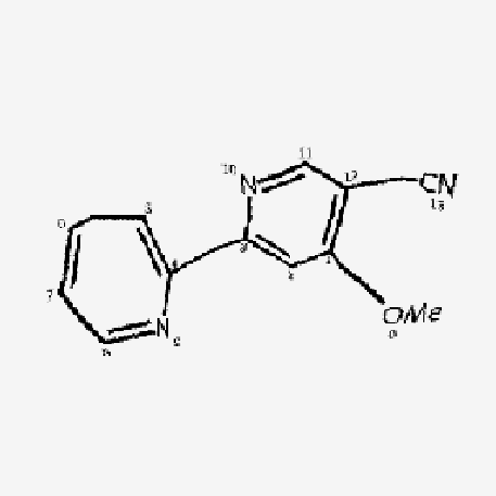 COc1cc(-c2ccccn2)ncc1C#N